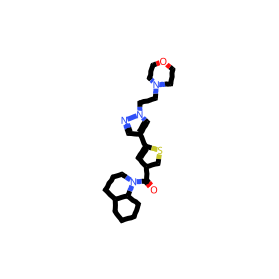 O=C(C1C=C(c2cnn(CCN3CCOCC3)c2)SC1)N1CCCC2CCCCC21